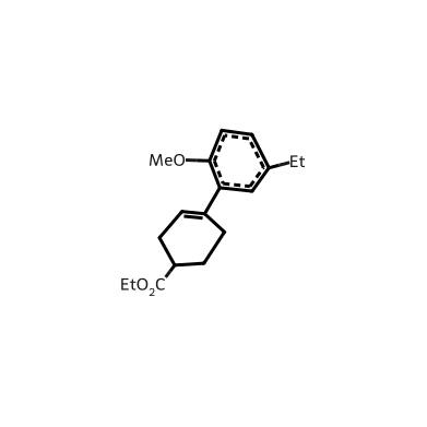 CCOC(=O)C1CC=C(c2cc(CC)ccc2OC)CC1